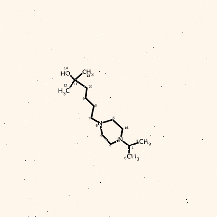 CC(C)N1CCN(CCCCC(C)(C)O)CC1